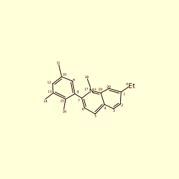 CCc1ccc2ccc(-c3cc(C)cc(C)c3C)[n+](C)c2c1